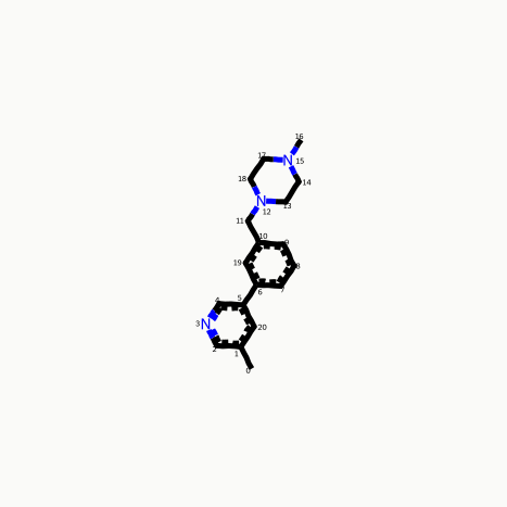 Cc1cncc(-c2cccc(CN3CCN(C)CC3)c2)c1